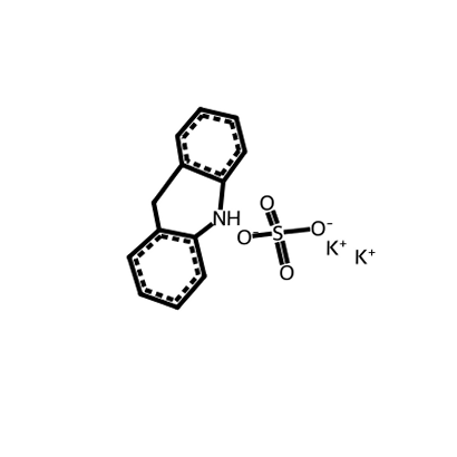 O=S(=O)([O-])[O-].[K+].[K+].c1ccc2c(c1)Cc1ccccc1N2